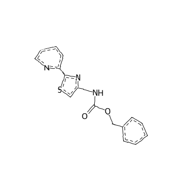 O=C(Nc1csc(-c2ccccn2)n1)OCc1ccccc1